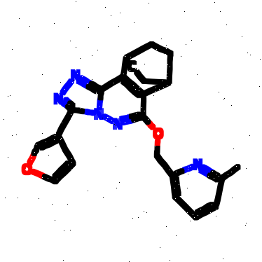 Cc1cccc(COc2nn3c(-c4ccoc4)nnc3c3c2C2CCC3CC2)n1